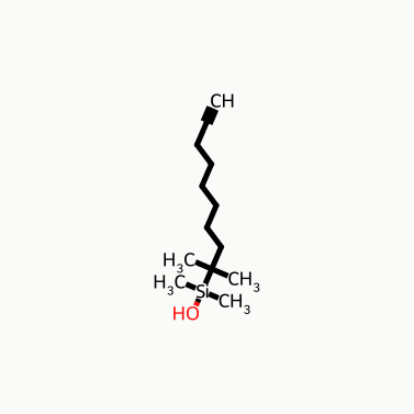 C#CCCCCCCC(C)(C)[Si](C)(C)O